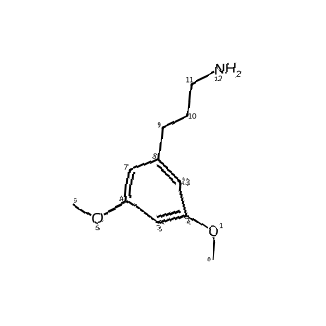 COc1[c]c(OC)cc(CCCN)c1